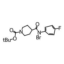 CC(C)(C)OC(=O)N1CCC(C(=O)N(Br)c2ccc(F)cc2)CC1